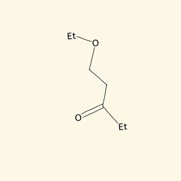 CCOCCC(=O)CC